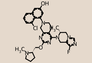 C[C@@H]1Cn2cnc(F)c2CN1c1nc(OC[C@@H]2CCCN2C)nc2c1CCN(c1cc(O)cc3cccc(Cl)c13)C2